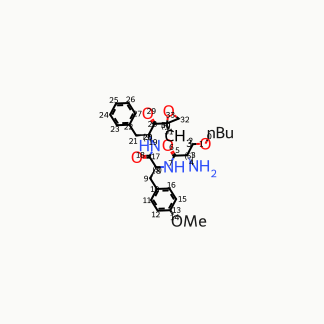 CCCCOC[C@H](N)C(=O)N[C@@H](Cc1ccc(OC)cc1)C(=O)N[C@@H](Cc1ccccc1)C(=O)[C@@]1(C)CO1